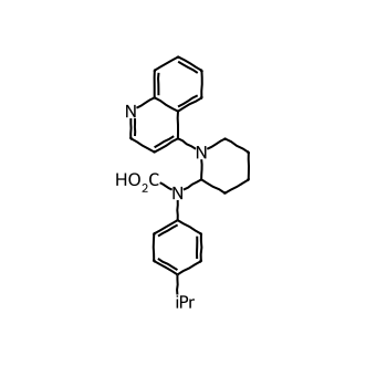 CC(C)c1ccc(N(C(=O)O)C2CCCCN2c2ccnc3ccccc23)cc1